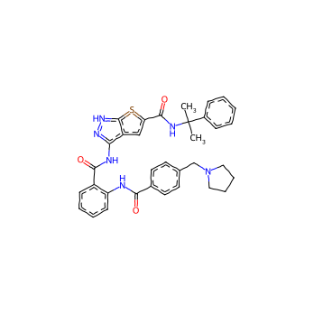 CC(C)(NC(=O)c1cc2c(NC(=O)c3ccccc3NC(=O)c3ccc(CN4CCCC4)cc3)n[nH]c2s1)c1ccccc1